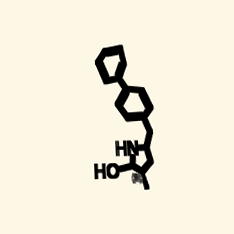 C[C@@H]1CC(Cc2ccc(-c3ccccc3)cc2)NC1O